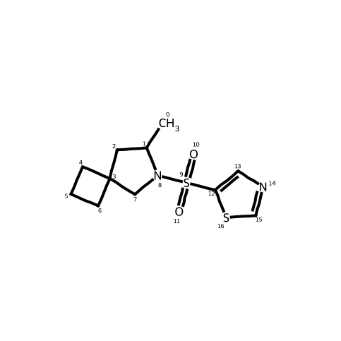 CC1CC2(CCC2)CN1S(=O)(=O)c1cncs1